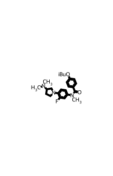 CC(C)COc1ccc(C(=O)N(C)c2ccc(N3CCC(N(C)C)C3)c(F)c2)cc1